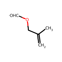 C=C(C)CO[C]=O